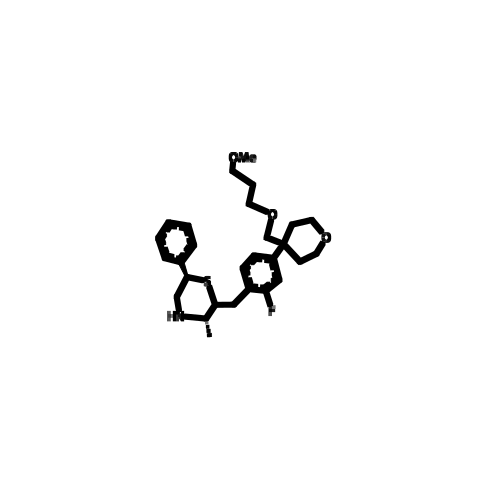 COCCCOCC1(c2ccc(CC3S[C@H](c4ccccc4)CN[C@H]3C)c(F)c2)CCOCC1